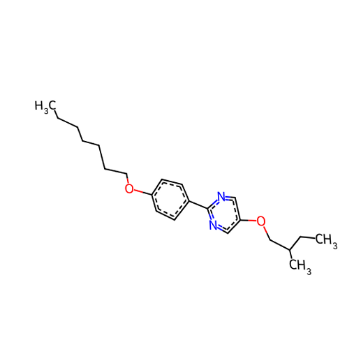 CCCCCCCOc1ccc(-c2ncc(OCC(C)CC)cn2)cc1